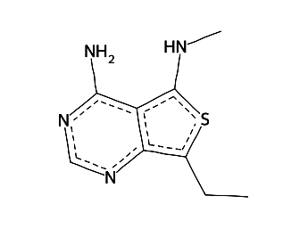 CCc1sc(NC)c2c(N)ncnc12